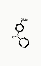 COc1ccc([S@+]([O-])C2C=CC=CC=C2)cc1